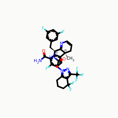 C[C@@]1(c2ccc(F)c(C(N)=O)c2)CC=CN=C1[C@H](Cc1cc(F)cc(F)c1)NC(=O)Cn1nc(C(F)(F)F)c2c1CCCC2(F)F